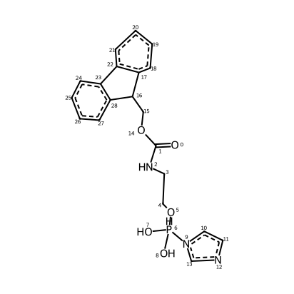 O=C(NCCO[PH](O)(O)n1ccnc1)OCC1c2ccccc2-c2ccccc21